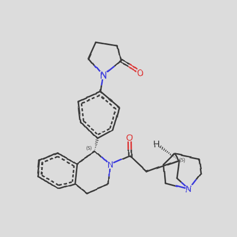 O=C1CCCN1c1ccc([C@H]2c3ccccc3CCN2C(=O)C[C@@H]2CN3CCC2CC3)cc1